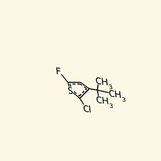 CC(C)(C)c1cc(F)sc1Cl